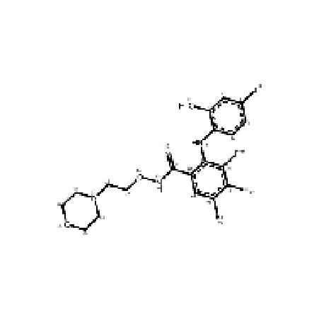 Cc1cc(I)ccc1Nc1c(C(=O)NOCCN2CCOCC2)cc(Br)c(F)c1F